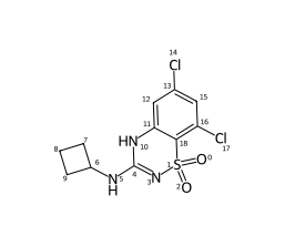 O=S1(=O)N=C(NC2CCC2)Nc2cc(Cl)cc(Cl)c21